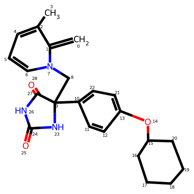 C=C1C(C)=CC=CN1CC1(c2ccc(OC3CCCCC3)cc2)NC(=O)NC1=O